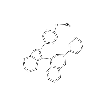 COc1ccc(-[13c]2cc3ccccc3n2-c2cc(-c3ccccc3)cc3ccccc23)cc1